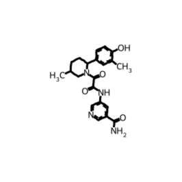 Cc1cc(C2CCC(C)CN2C(=O)C(=O)Nc2cncc(C(N)=O)c2)ccc1O